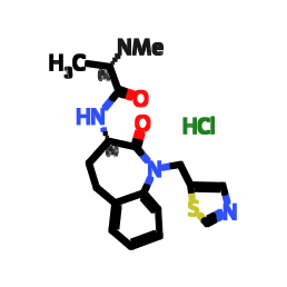 CN[C@@H](C)C(=O)N[C@H]1CCc2ccccc2N(Cc2cncs2)C1=O.Cl